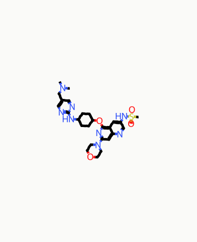 CN(C)Cc1cnc(NC2CCC(Oc3nc(N4CCOCC4)cc4ncc(NS(C)(=O)=O)cc34)CC2)nc1